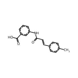 Cc1ccc(C=CC(=O)Nc2cccc(C(=O)O)c2)cc1